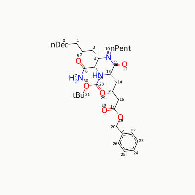 CCCCCCCCCCCCC[C@@H](CC(N)=O)N(CCCCC)C(=O)[C@H](CCCC(=O)OCc1ccccc1)NC(=O)OC(C)(C)C